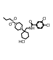 CCCS(=O)(=O)N1CCN(C2(CNC(=O)c3ccc(Cl)c(Cl)c3)CCCCC2)CC1.Cl